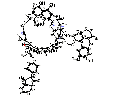 CO[C@H]1/C=C/O[C@@]2(C)Oc3c(C)c(O)c4c(O)c(c(/C=N/N5CCN(C)CC5)c(O)c4c3C2=O)NC(=O)/C(C)=C\C=C\[C@H](C)[C@H](O)[C@@H](C)[C@@H](O)[C@@H](C)[C@H](OC(C)=O)[C@@H]1C.COc1cc2c(cc1O)CC1c3c(cc(O)c(OC)c3-2)CCN1C.O=C1c2ccccc2C(=O)C1c1ccccc1